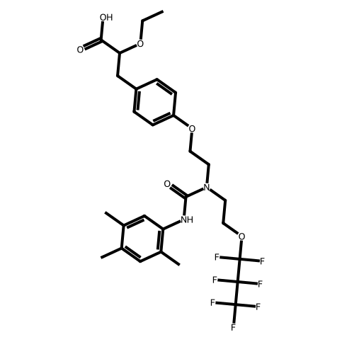 CCOC(Cc1ccc(OCCN(CCOC(F)(F)C(F)(F)C(F)(F)F)C(=O)Nc2cc(C)c(C)cc2C)cc1)C(=O)O